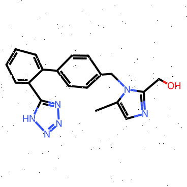 Cc1cnc(CO)n1Cc1ccc(-c2ccccc2-c2nnn[nH]2)cc1